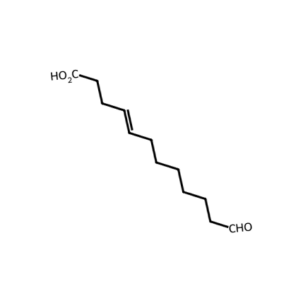 O=CCCCCCC/C=C/CCC(=O)O